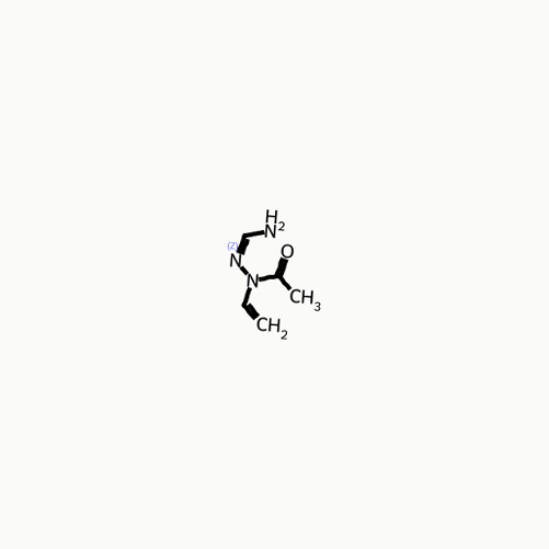 C=CN(/N=C\N)C(C)=O